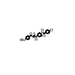 CC(C)(C)c1ccc(C(=O)NC(=S)Nc2ccc(NC(=O)c3ccc(Cl)cc3)cc2)cc1